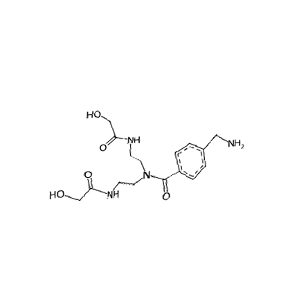 NCc1ccc(C(=O)N(CCNC(=O)CO)CCNC(=O)CO)cc1